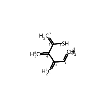 C=CC(=C)C(=C)C(=C)S.I